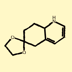 [C]1=CNC2CCC3(CC2=C1)OCCO3